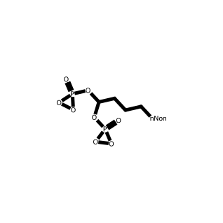 CCCCCCCCCCCCC(OP1(=O)OO1)OP1(=O)OO1